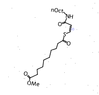 CCCCCCCCNC(=O)/C=C\SC(=O)CCCCCCCCC(=O)OC